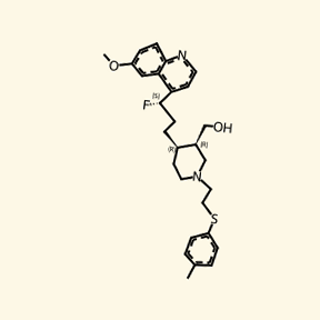 COc1ccc2nccc([C@@H](F)CC[C@@H]3CCN(CCSc4ccc(C)cc4)C[C@@H]3CO)c2c1